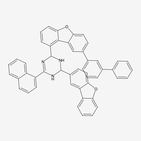 c1ccc(-c2cccc(-c3ccc4oc5cccc(C6N=C(c7cccc8ccccc78)NC(c7ccc8oc9ccccc9c8c7)N6)c5c4c3)c2)cc1